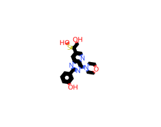 OCC(SO)c1cnc2c(N3CCOCC3)nc(-c3cccc(O)c3)nc2c1